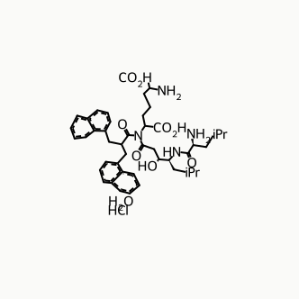 CC(C)C[C@H](NC(=O)[C@@H](N)CC(C)C)[C@@H](O)CC(=O)N(C(=O)C(Cc1cccc2ccccc12)Cc1cccc2ccccc12)C(CCCC(N)C(=O)O)C(=O)O.Cl.O